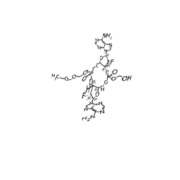 CCOCOCOP1(=O)CCC2O[C@@H](n3cnc4c(N)ncnc43)[C@H](F)[C@@H]2OP(=O)(OCO)OC[C@H]2O[C@@H](n3cnc4c(N)ncnc43)[C@H](F)[C@@H]2O1